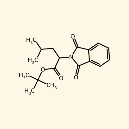 CC(C)CC(C(=O)OC(C)(C)C)N1C(=O)c2ccccc2C1=O